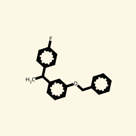 [CH2]C(c1ccc(F)cc1)c1cccc(OCc2ccccc2)c1